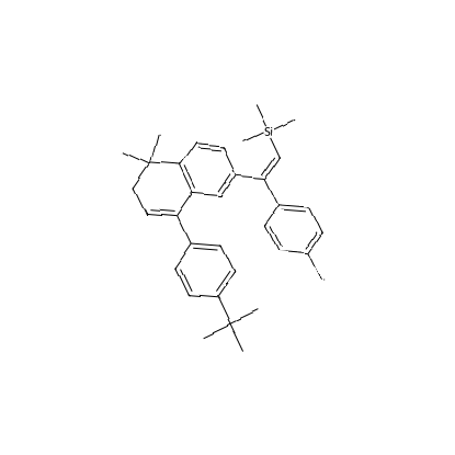 [CH2]c1ccc(/C(=C/[Si](C)(C)C)c2ccc3c(c2)C(c2ccc(C(C)(C)C)cc2)=CCC3(C)C)cc1